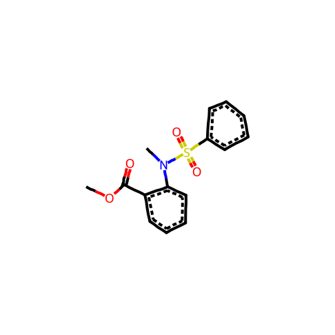 COC(=O)c1ccccc1N(C)S(=O)(=O)c1ccccc1